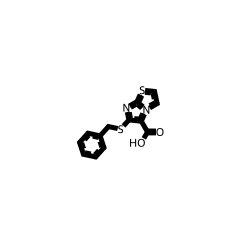 O=C(O)c1c(SCc2ccccc2)nc2sccn12